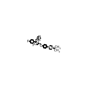 CC(C)N1CCN(c2ccc(OC[C@H]3CO[C@](Cn4cncn4)(C4C=CC(F)=CC4F)O3)cc2)CC1